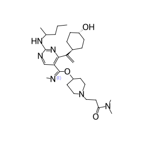 C=C(c1nc(NC(C)CCC)ncc1/C(=N\C)OC1CCN(CCC(=O)N(C)C)CC1)[C@H]1CC[C@H](O)CC1